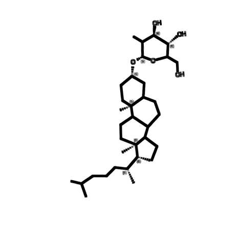 CC(C)CCC[C@@H](C)[C@H]1CCC2C3CCC4C[C@@H](O[C@H]5OC(CO)[C@@H](O)[C@H](O)C5C)CC[C@]4(C)C3CC[C@@]21C